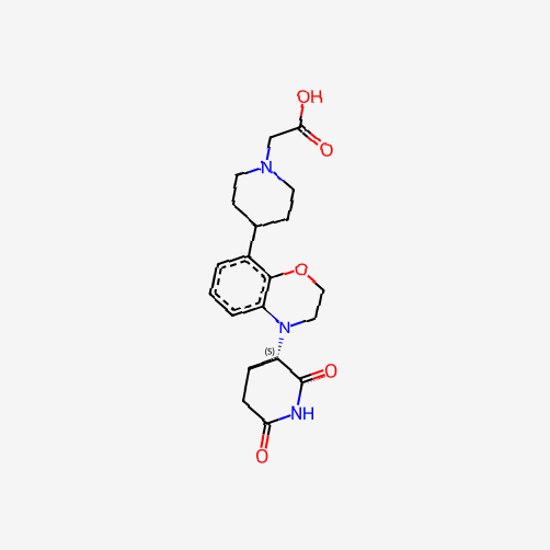 O=C(O)CN1CCC(c2cccc3c2OCCN3[C@H]2CCC(=O)NC2=O)CC1